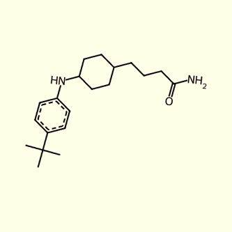 CC(C)(C)c1ccc(NC2CCC(CCCC(N)=O)CC2)cc1